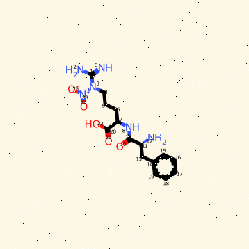 N=C(N)N(CCCC(NC(=O)[C@@H](N)Cc1ccccc1)C(=O)O)[N+](=O)[O-]